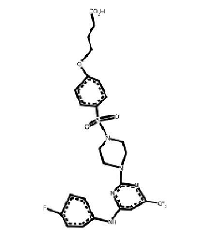 O=C(O)CCCOc1ccc(S(=O)(=O)N2CCN(c3nc(Nc4ccc(F)cc4)cc(C(F)(F)F)n3)CC2)cc1